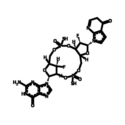 Nc1nc2c(ncn2[C@@H]2O[C@@H]3COP(=O)(S)O[C@H]4[C@H](F)[C@H](n5ccc6c5N=CCC6=O)O[C@@H]4COP(=O)(S)O[C@@H]2[C@@H]3F)c(=O)[nH]1